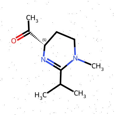 CC(=O)[C@@H]1CCN(C)C(C(C)C)=N1